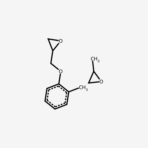 CC1CO1.Cc1ccccc1OCC1CO1